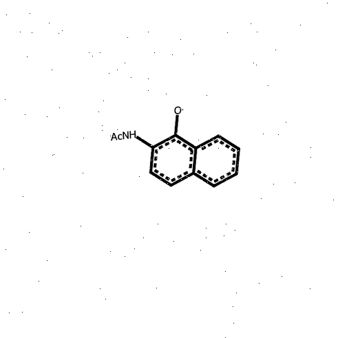 CC(=O)Nc1ccc2ccccc2c1[O]